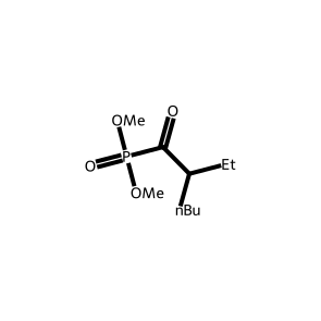 CCCCC(CC)C(=O)P(=O)(OC)OC